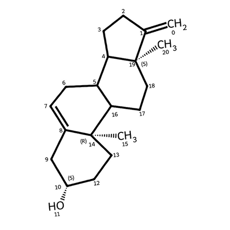 C=C1CCC2C3CC=C4C[C@@H](O)CC[C@]4(C)C3CC[C@]12C